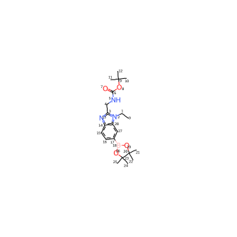 CCn1c(CNC(=O)OC(C)(C)C)nc2ccc(B3OC(C)(C)C(C)(C)O3)cc21